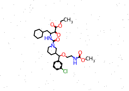 CCOC(=O)C(=O)C(CC1CCCCC1)NC(=O)N1CCCC(C(OCCNC(=O)OC)c2cccc(Cl)c2)C1